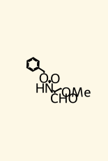 COCC(C=O)NC(=O)OCc1ccccc1